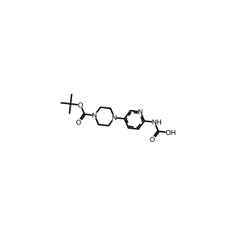 CC(C)(C)OC(=O)N1CCN(c2ccc(NC(=O)O)nc2)CC1